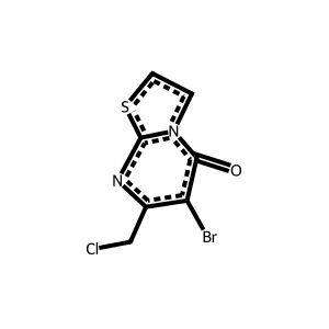 O=c1c(Br)c(CCl)nc2sccn12